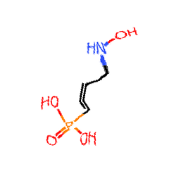 O=P(O)(O)C=CCNO